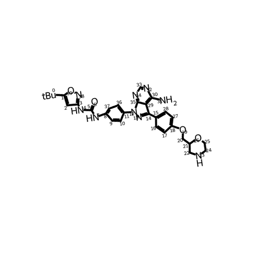 CC(C)(C)c1cc(NC(=O)Nc2ccc(-n3nc(-c4ccc(OCC5CNCCO5)cc4)c4c(N)ncnc43)cc2)no1